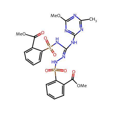 COC(=O)c1ccccc1S(=O)(=O)NN=C(Nc1nc(C)nc(OC)n1)NS(=O)(=O)c1ccccc1C(=O)OC